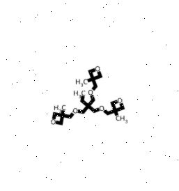 CCC(COCC1(C)COC1)(COCC1(C)COC1)COCC1(C)COC1